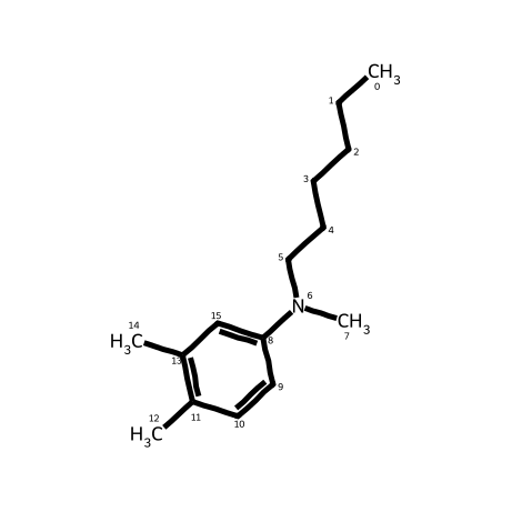 CCCCCCN(C)c1ccc(C)c(C)c1